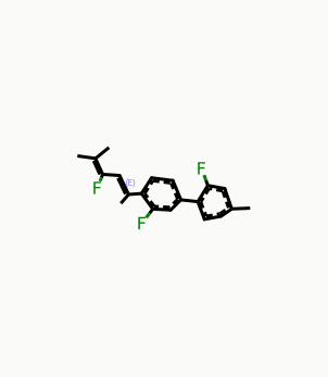 CC(C)=C(F)/C=C(\C)c1ccc(-c2ccc(C)cc2F)cc1F